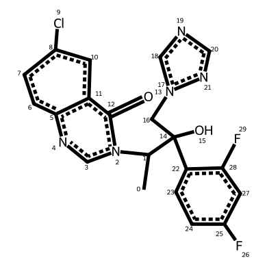 CC(n1cnc2ccc(Cl)cc2c1=O)C(O)(Cn1cncn1)c1ccc(F)cc1F